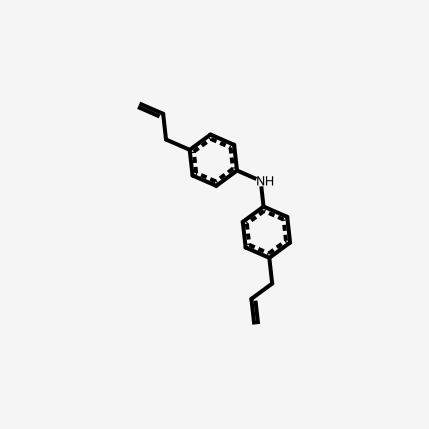 C=CCc1ccc(Nc2ccc(CC=C)cc2)cc1